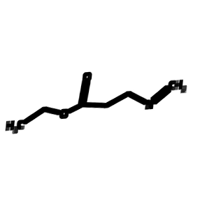 C=NCCC(=O)OCC